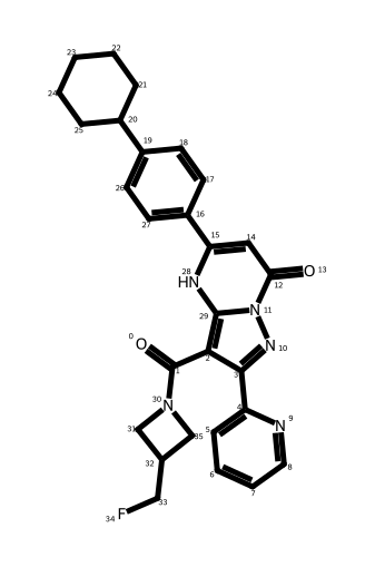 O=C(c1c(-c2ccccn2)nn2c(=O)cc(-c3ccc(C4CCCCC4)cc3)[nH]c12)N1CC(CF)C1